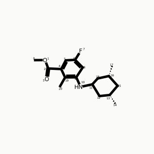 COC(=O)c1cc(F)cc(NC2C[C@@H](C)C[C@@H](C)C2)c1C